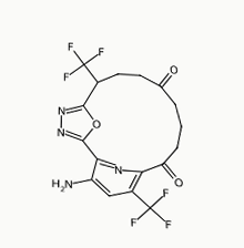 Nc1cc(C(F)(F)F)c2nc1-c1nnc(o1)C(C(F)(F)F)CCC(=O)CCCC2=O